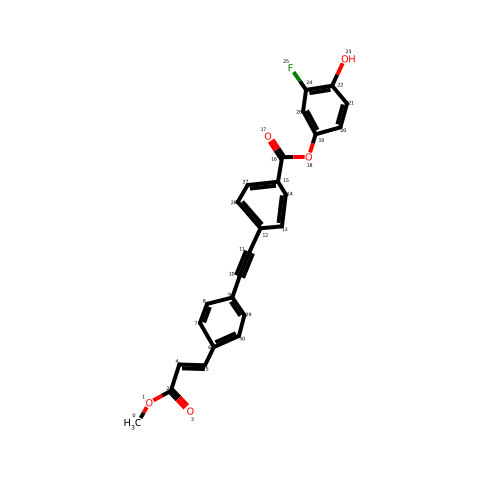 COC(=O)/C=C/c1ccc(C#Cc2ccc(C(=O)Oc3ccc(O)c(F)c3)cc2)cc1